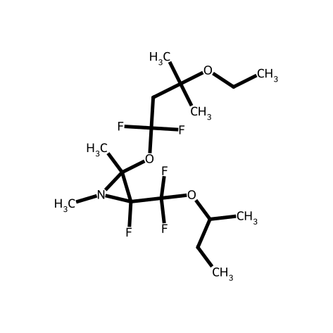 CCOC(C)(C)CC(F)(F)OC1(C)N(C)C1(F)C(F)(F)OC(C)CC